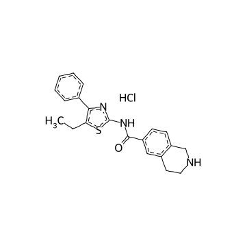 CCc1sc(NC(=O)c2ccc3c(c2)CCNC3)nc1-c1ccccc1.Cl